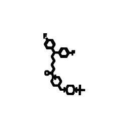 CC(C)(C)N1CCN(CC2CCN(C(=O)CCCCC(c3ccc(F)cc3)c3ccc(F)cc3)CC2)CC1